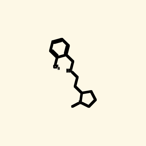 CN1CCCC1CCNCc1ccccc1C(F)(F)F